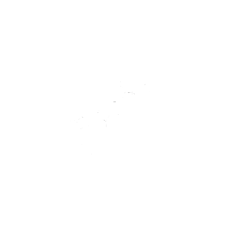 COC(=O)CNC(=O)c1ccc2[nH]c(-c3n[nH]c4c3CCC(C)(C)C4)cc2c1